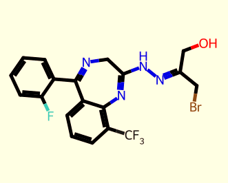 OC/C(CBr)=N\NC1=Nc2c(cccc2C(F)(F)F)C(c2ccccc2F)=NC1